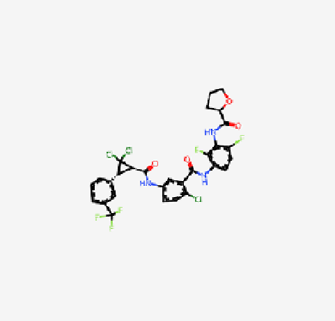 O=C(Nc1ccc(F)c(NC(=O)C2CCCO2)c1F)c1cc(NC(=O)[C@H]2[C@H](c3cccc(C(F)(F)F)c3)C2(Cl)Cl)ccc1Cl